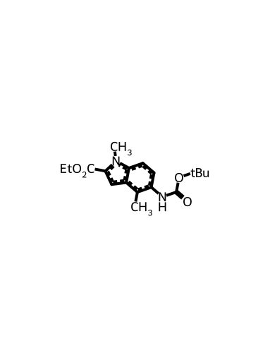 CCOC(=O)c1cc2c(C)c(NC(=O)OC(C)(C)C)ccc2n1C